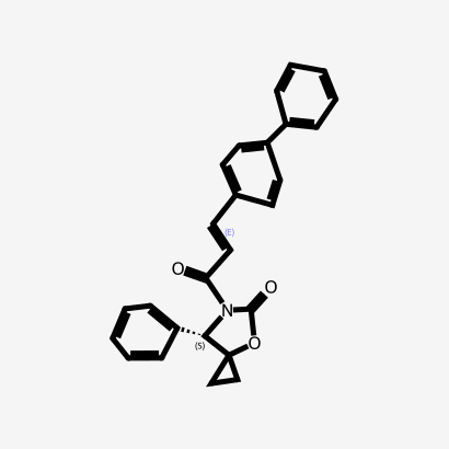 O=C(/C=C/c1ccc(-c2ccccc2)cc1)N1C(=O)OC2(CC2)[C@@H]1c1ccccc1